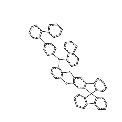 c1ccc(-c2ccccc2-c2ccc(N(c3cccc4c3Oc3cc5c(cc3O4)C3(c4ccccc4-c4ccccc43)c3ccccc3-5)c3cccc4ccccc34)cc2)cc1